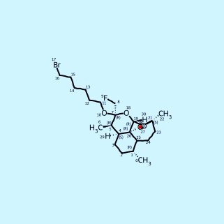 C[C@@H]1CC[C@H]2[C@@H](C)[C@@](CF)(OCCCCCCBr)O[C@@H]3O[C@]4(C)CCC1[C@]32OO4